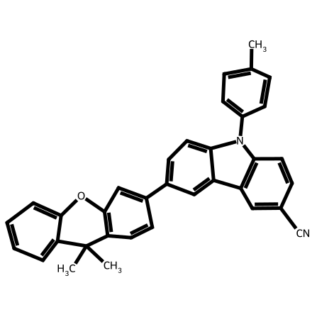 Cc1ccc(-n2c3ccc(C#N)cc3c3cc(-c4ccc5c(c4)Oc4ccccc4C5(C)C)ccc32)cc1